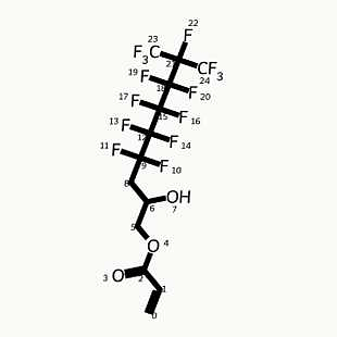 C=CC(=O)OCC(O)CC(F)(F)C(F)(F)C(F)(F)C(F)(F)C(F)(C(F)(F)F)C(F)(F)F